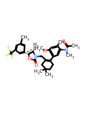 COc1cc(C)c(N(C)C(C)=O)cc1C1=C(CN2C(=O)O[C@H](c3cc(C)cc(C(F)(F)F)c3)[C@@H]2C)CC(C)(C)CC1